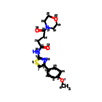 COc1ccc(-c2csc(NC(=O)CCC(=O)N3CCOCC3)n2)cc1